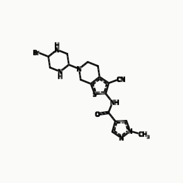 Cn1cc(C(=O)Nc2sc3c(c2C#N)CCN(C2CNC(Br)CN2)C3)cn1